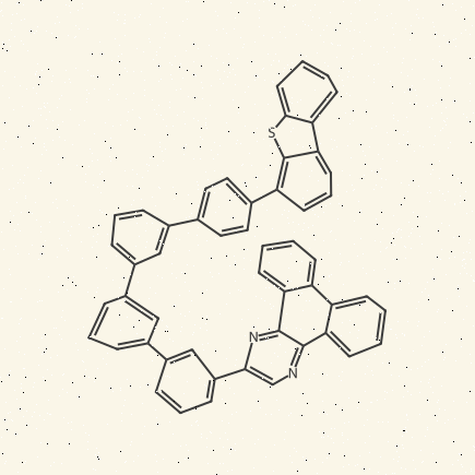 c1cc(-c2ccc(-c3cccc4c3sc3ccccc34)cc2)cc(-c2cccc(-c3cccc(-c4cnc5c6ccccc6c6ccccc6c5n4)c3)c2)c1